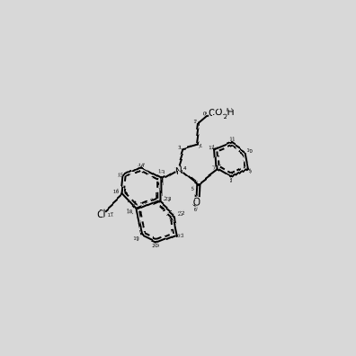 O=C(O)CCCN(C(=O)c1ccccc1)c1ccc(Cl)c2ccccc12